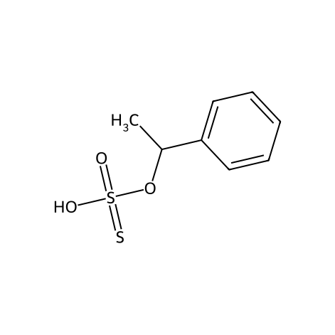 CC(OS(=O)(O)=S)c1ccccc1